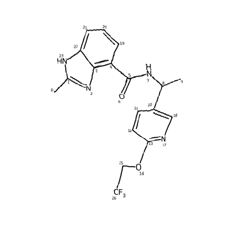 Cc1nc2c(C(=O)NC(C)c3ccc(OCC(F)(F)F)nc3)cccc2[nH]1